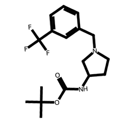 CC(C)(C)OC(=O)NC1CCN(Cc2cccc(C(F)(F)F)c2)C1